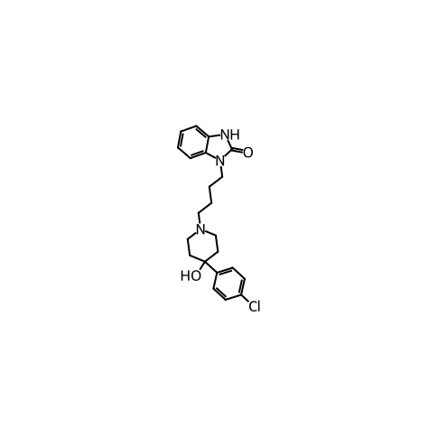 O=c1[nH]c2ccccc2n1CCCCN1CCC(O)(c2ccc(Cl)cc2)CC1